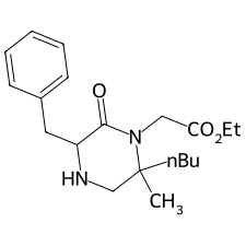 CCCCC1(C)CNC(Cc2ccccc2)C(=O)N1CC(=O)OCC